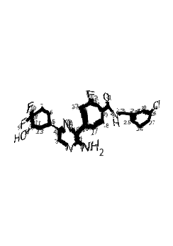 Nc1ncc([C@@H]2CCC(F)(F)[C@@H](O)C2)nc1-c1ccc(C(=O)NCc2cccc(Cl)c2)c(F)c1